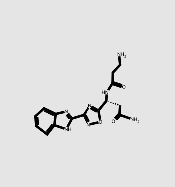 NCCC(=O)N[C@H](CC(N)=O)c1nc(-c2nc3ccccc3[nH]2)no1